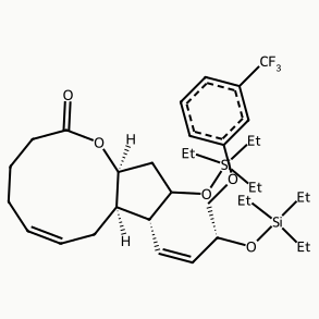 CC[Si](CC)(CC)OC1C[C@@H]2OC(=O)CCCC=CC[C@@H]2[C@H]1/C=C\[C@H](COc1cccc(C(F)(F)F)c1)O[Si](CC)(CC)CC